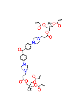 C=CC(=O)OCC(CC)(COC(=O)C=C)COC(=O)CCN1CCN(c2ccc(C(=O)c3ccc(N4CCN(CCC(=O)OCC(CC)(COC(=O)C=C)COC(=O)C=C)CC4)cc3)cc2)CC1